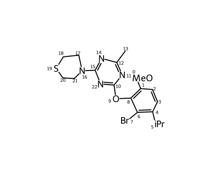 COc1ccc(C(C)C)c(Br)c1Oc1nc(C)nc(N2CCSCC2)n1